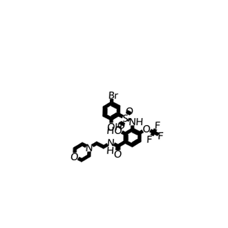 O=C(NCCN1CCOCC1)c1ccc(OC(F)(F)F)c(NS(=O)(=O)c2cc(Br)ccc2O)c1O